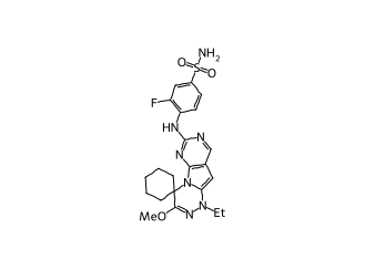 CCN1N=C(OC)C2(CCCCC2)n2c1cc1cnc(Nc3ccc(S(N)(=O)=O)cc3F)nc12